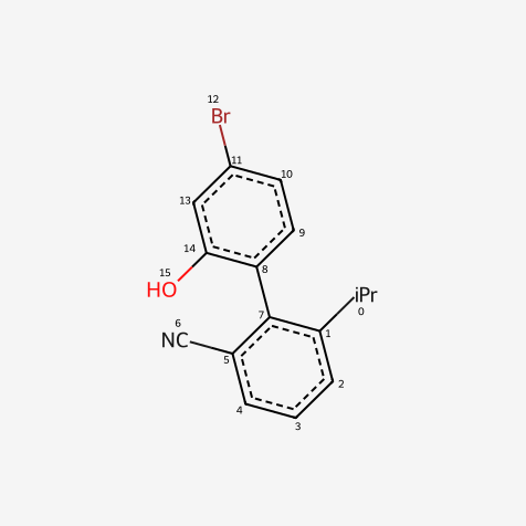 CC(C)c1cccc(C#N)c1-c1ccc(Br)cc1O